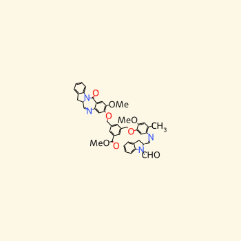 COC(=O)c1cc(COc2cc3c(cc2OC)C(=O)N2c4ccccc4CC2C=N3)cc(COc2cc(/N=C\[C@@H]3Cc4ccccc4N3C=O)c(C)cc2OC)c1